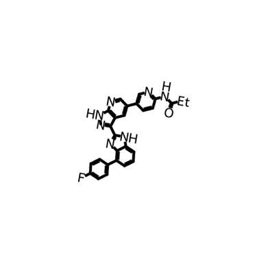 CCC(=O)Nc1ccc(-c2cnc3[nH]nc(-c4nc5c(-c6ccc(F)cc6)cccc5[nH]4)c3c2)cn1